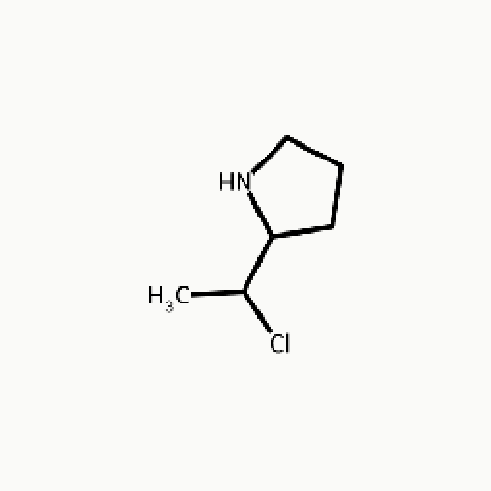 CC(Cl)C1CCCN1